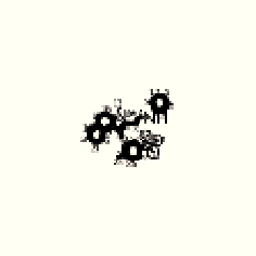 CC1=C(/C=C/Nc2ccccc2)[N+](C)(C)c2ccc3ccccc3c21.Cc1ccc(S(=O)(=O)[O-])cc1